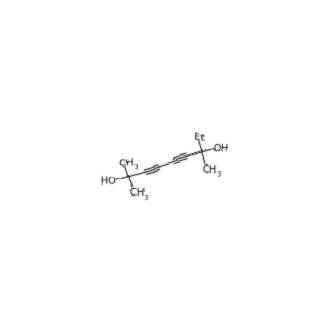 CCC(C)(O)C#CC#CC(C)(C)O